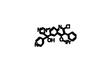 CC(C)Oc1c(-c2ccccc2)c(Cl)nc2ccc(C(O)(c3ccncc3)c3cncn3C)cc12